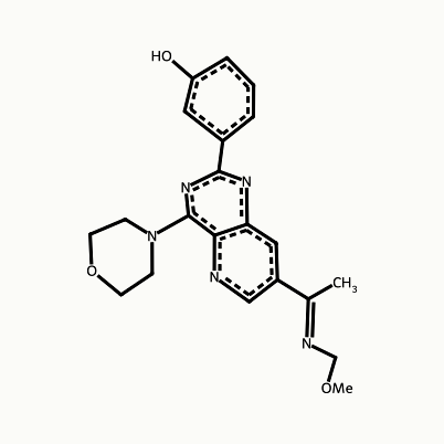 COC/N=C(\C)c1cnc2c(N3CCOCC3)nc(-c3cccc(O)c3)nc2c1